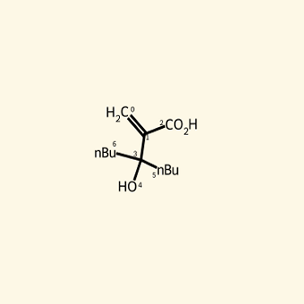 C=C(C(=O)O)C(O)(CCCC)CCCC